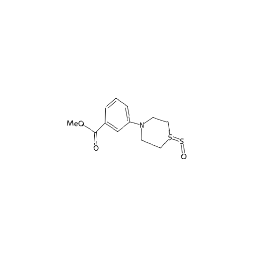 COC(=O)c1cccc(N2CCS(=S=O)CC2)c1